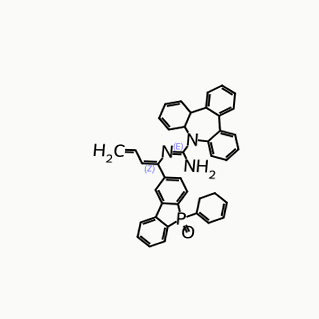 C=C/C=C(\N=C(/N)N1c2ccccc2-c2ccccc2C2C=CC=CC21)c1ccc2c(c1)-c1ccccc1P2(=O)C1=CC=CCC1